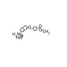 CCOC(=O)c1ccc(COc2ccc3ccc(C(N)=NO)cc3c2)cc1